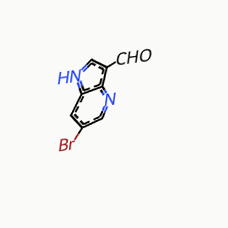 O=Cc1c[nH]c2cc(Br)cnc12